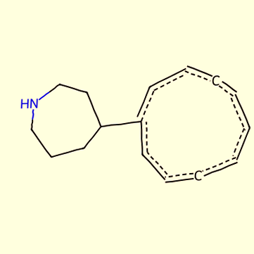 c1ccccc(C2CCCNCC2)cccc1